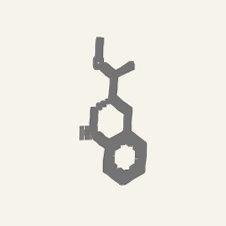 CO[C@@H](C)[C@H]1CNc2ccccc2C1